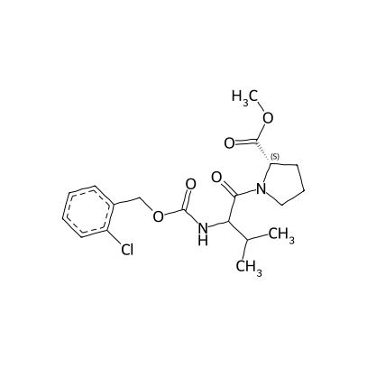 COC(=O)[C@@H]1CCCN1C(=O)C(NC(=O)OCc1ccccc1Cl)C(C)C